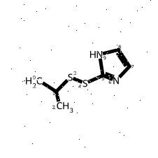 [CH2]C(C)SSc1ncc[nH]1